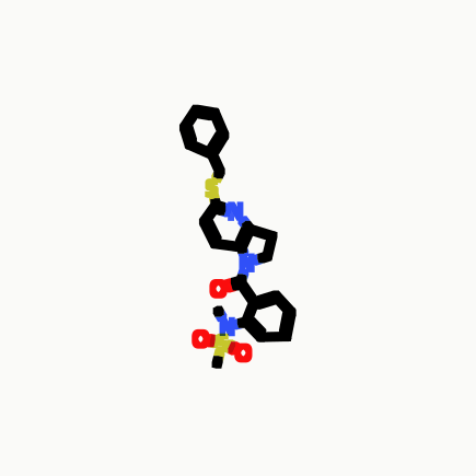 CN(c1ccccc1C(=O)N1CCc2nc(SCc3ccccc3)ccc21)S(C)(=O)=O